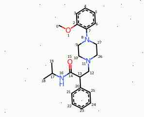 COc1ccccc1N1CCN(CC(C(=O)NC(C)C)c2ccccc2)CC1